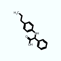 CCCc1ccc(NC(C(=O)O)c2ccccc2)cc1